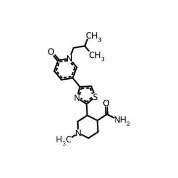 CC(C)Cn1cc(-c2csc(C3CN(C)CCC3C(N)=O)n2)ccc1=O